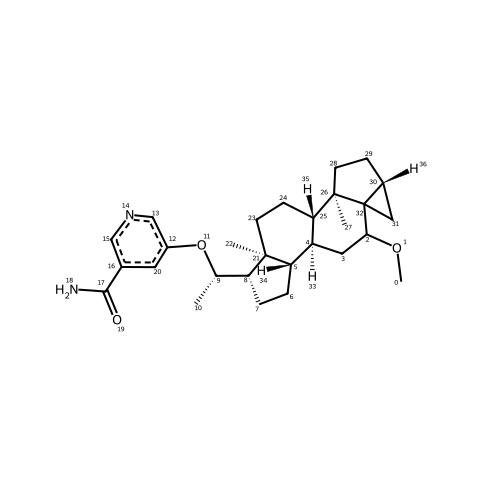 COC1C[C@H]2[C@@H]3CC[C@H]([C@H](C)Oc4cncc(C(N)=O)c4)[C@@]3(C)CC[C@@H]2[C@@]2(C)CC[C@@H]3CC132